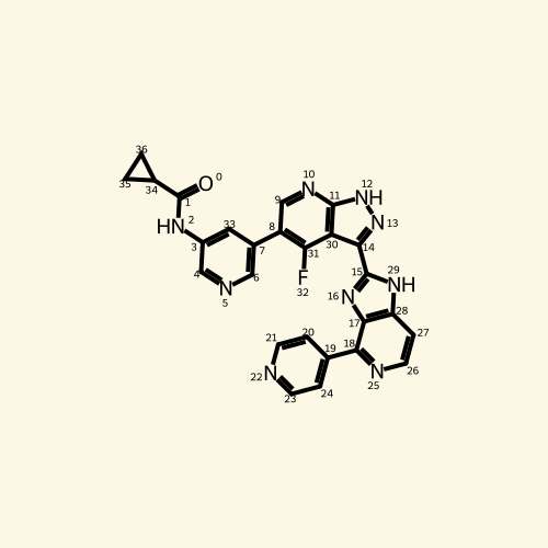 O=C(Nc1cncc(-c2cnc3[nH]nc(-c4nc5c(-c6ccncc6)nccc5[nH]4)c3c2F)c1)C1CC1